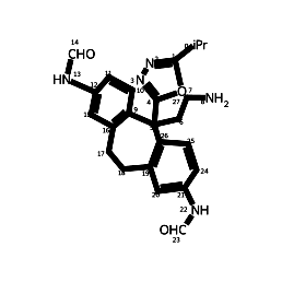 CC(C)c1nnc(C2(CCN)c3ccc(NC=O)cc3CCc3cc(NC=O)ccc32)o1